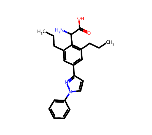 CCCc1cc(-c2ccn(-c3ccccc3)n2)cc(CCC)c1C(N)C(=O)O